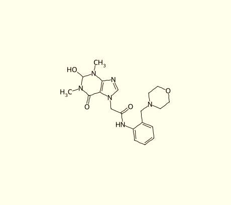 CN1C(=O)c2c(ncn2CC(=O)Nc2ccccc2CN2CCOCC2)N(C)C1O